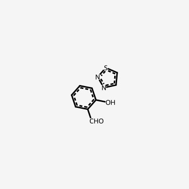 O=Cc1ccccc1O.c1csnn1